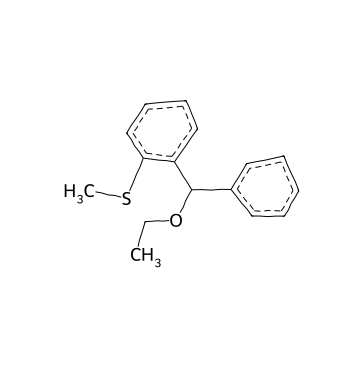 CCOC(c1ccccc1)c1ccccc1SC